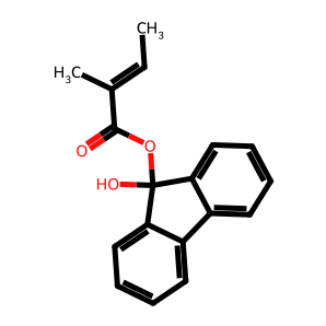 CC=C(C)C(=O)OC1(O)c2ccccc2-c2ccccc21